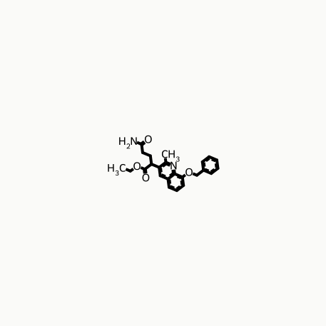 CCOC(=O)C(CCC(N)=O)c1cc2cccc(OCc3ccccc3)c2nc1C